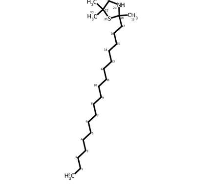 CCCCCCCCCCCCCCCCCCC1(C)NCC(C)(C)S1